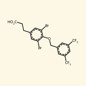 O=C(O)CCc1cc(Br)c(OCc2cc(C(F)(F)F)cc(C(F)(F)F)c2)c(Br)c1